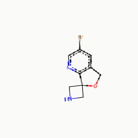 Brc1cnc2c(c1)COC21CNC1